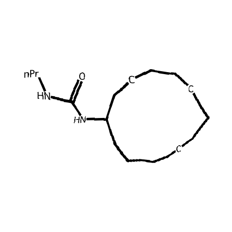 CCCNC(=O)NC1CCCCCCCCCCC1